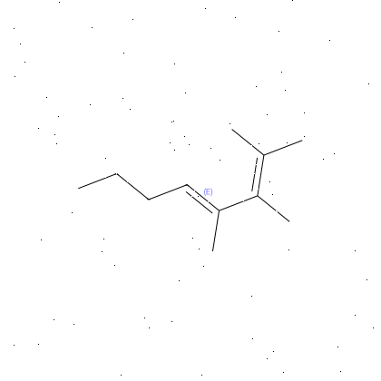 CCC/C=C(\C)C(C)=C(C)C